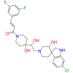 O=C(C=Cc1cc(F)cc(F)c1)N1CCC(O)(C(O)CN2CCC3(CNc4cc(Cl)ccc43)C(O)C2)CC1